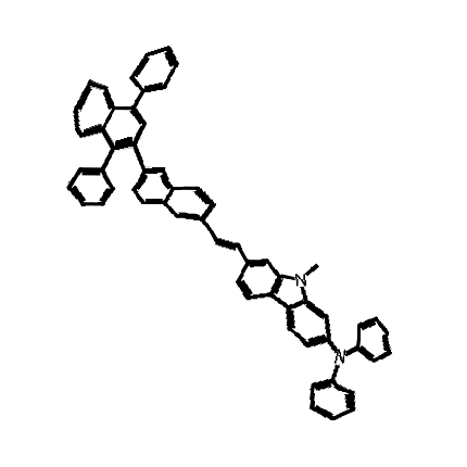 Cn1c2cc(/C=C/c3ccc4cc(-c5cc(-c6ccccc6)c6ccccc6c5-c5ccccc5)ccc4c3)ccc2c2ccc(N(c3ccccc3)c3ccccc3)cc21